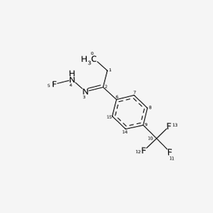 CCC(=NNF)c1ccc(C(F)(F)F)cc1